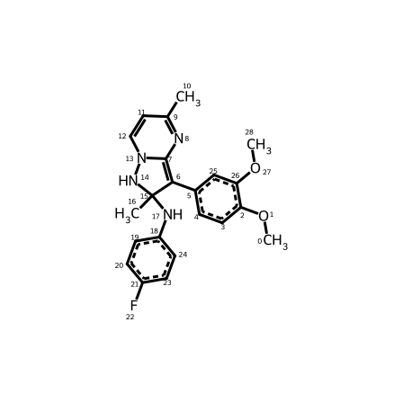 COc1ccc(C2=C3N=C(C)C=CN3NC2(C)Nc2ccc(F)cc2)cc1OC